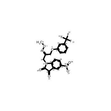 CO/N=C(\COc1cccc(C(F)(F)F)c1)CN1C(=O)C(=O)c2cc([N+](=O)[O-])ccc21